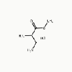 COC(=O)C(C)CN.Cl